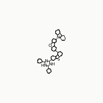 C1=Cc2c(c3ccccc3n2-c2ccc3oc4ccc(-c5cccc6sc7cc(C8N=C(c9ccccc9)NC(c9ccccc9)N8)ccc7c56)cc4c3c2)CC1